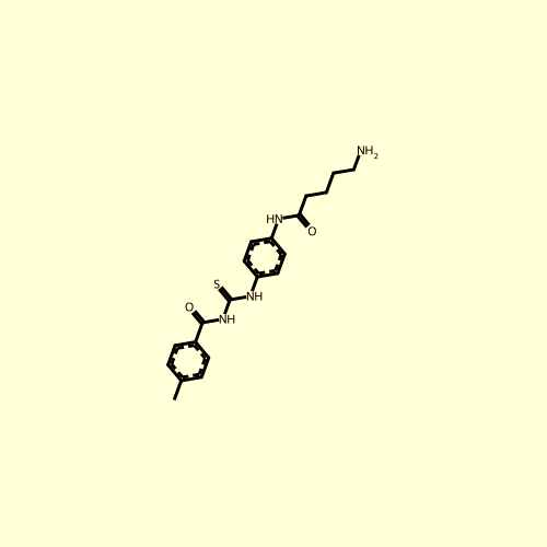 Cc1ccc(C(=O)NC(=S)Nc2ccc(NC(=O)CCCCN)cc2)cc1